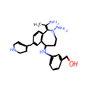 C/C(N)=C1\c2ccc(C3=CCNCC3)cc2C(Nc2cccc(CO)c2)CCN1N